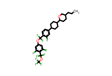 CCCC1CCC(C2CCC(c3ccc(C(F)(F)Oc4cc(F)c(C(F)(F)OC(F)(F)F)c(F)c4)c(F)c3)CC2)OC1